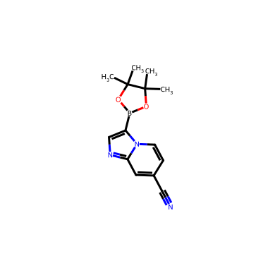 CC1(C)OB(c2cnc3cc(C#N)ccn23)OC1(C)C